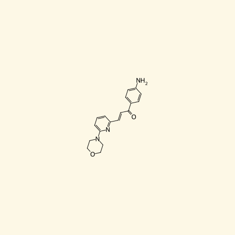 Nc1ccc(C(=O)C=Cc2cccc(N3CCOCC3)n2)cc1